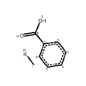 O=C(O)c1ccccc1.[CH3][K]